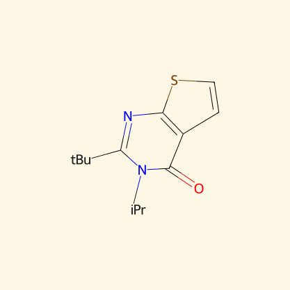 CC(C)n1c(C(C)(C)C)nc2sccc2c1=O